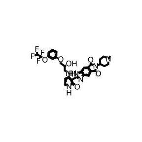 CN1CCC(N2C(=O)c3cc4nc(-c5c(NCC(O)COc6cccc(OC(F)(F)C(F)F)c6)cc[nH]c5=O)[nH]c4cc3C2=O)CC1